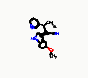 COc1ccc2[nH]cc(/C(C#N)=C(/C)c3cccnc3)c2c1